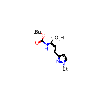 CCn1ccc(CC=C(NC(=O)OC(C)(C)C)C(=O)O)n1